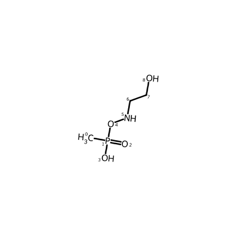 CP(=O)(O)ONCCO